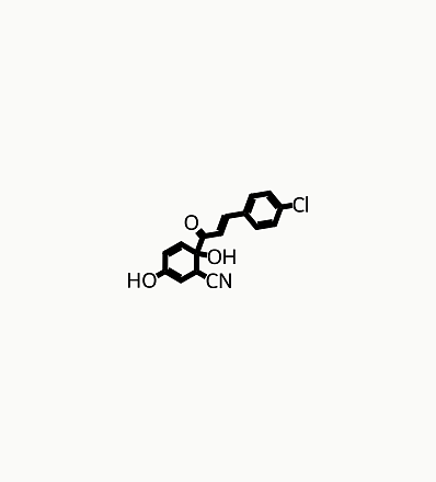 N#CC1C=C(O)C=CC1(O)C(=O)C=Cc1ccc(Cl)cc1